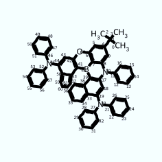 CC(C)(C)c1cc2c3c(c1)N(c1ccccc1)c1cc(N(c4ccccc4)c4ccccc4)c4ccccc4c1B3c1c(cc(N(c3ccccc3)c3ccccc3)c3ccccc13)O2